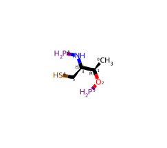 C[C@@H](OP)[C@@H](CS)NP